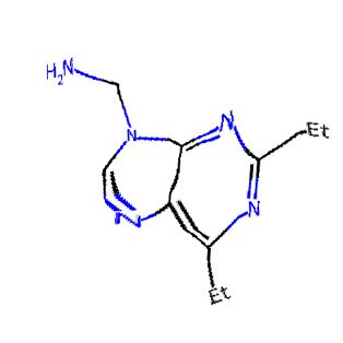 CCc1nc(CC)c2ncn(CN)c2n1